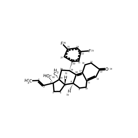 CC=C[C@]1(O)CC[C@H]2[C@@H]3CCC4=CC(=O)CCC4=C3[C@@H](c3cc(F)cc(F)c3)C[C@@]21C